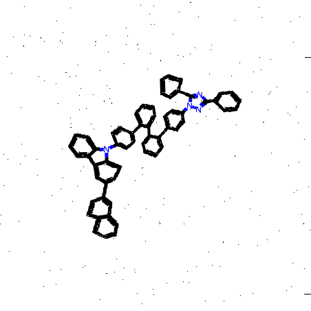 c1ccc(-c2nc(-c3ccccc3)n(-c3ccc(-c4ccccc4-c4ccccc4-c4ccc(-n5c6ccccc6c6cc(-c7ccc8ccccc8c7)ccc65)cc4)cc3)n2)cc1